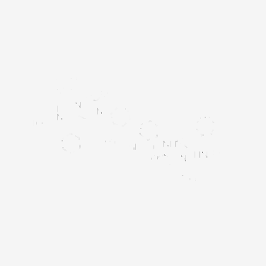 CCCCCC1(CCCCC)c2cc(NC(=O)[C@@H]3CC4(CN3C(=O)C(NC(=O)O)c3ccccc3)OCCO4)ccc2-c2ccc(NC(=O)[C@@H]3CC4(CN3C(=O)C(NC(=O)O)c3ccccc3)OCCO4)cc21